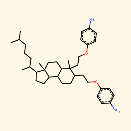 CC(C)CCCC(C)C1CCC2C3CCC(CCOc4ccc(N)cc4)C(C)(CCOc4ccc(N)cc4)C3CCC12C